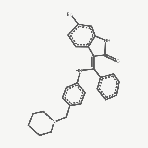 O=C1Nc2cc(Br)ccc2C1=C(Nc1ccc(CN2CCCCC2)cc1)c1ccccc1